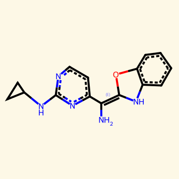 N/C(=C1\Nc2ccccc2O1)c1ccnc(NC2CC2)n1